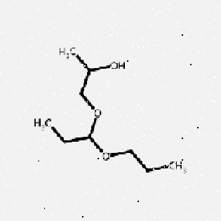 CCCOC(CC)OCC(C)O